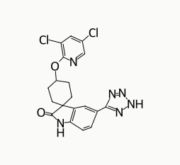 O=C1Nc2ccc(-c3nn[nH]n3)cc2C12CCC(Oc1ncc(Cl)cc1Cl)CC2